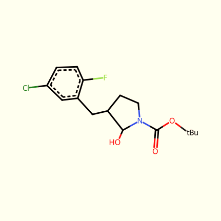 CC(C)(C)OC(=O)N1CCC(Cc2cc(Cl)ccc2F)C1O